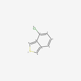 Clc1cccc2cscc12